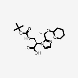 C[C@H](OC1CCCCO1)c1nccn1[C@H](CNC(=O)OC(C)(C)C)C(=O)O